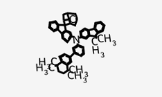 CC1(C)CCC(C)(C)c2cc(-c3cccc(N(c4ccc5c(c4)C(C)(C)c4ccccc4-5)c4ccc5c(c4)C4(c6ccccc6-5)C5CC6CC7CC4C75C6)c3)ccc21